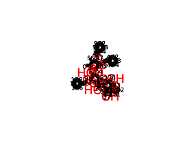 CC1O[C@@H](O[C@@H]2C(O)[C@H](OCc3ccccc3)OC(CO)[C@H]2O[C@@H]2O[C@@H](CO)[C@@H]3OC(C)(C)OC3C2O)C(OCc2ccccc2)[C@@H](OCc2ccccc2)[C@@H]1C